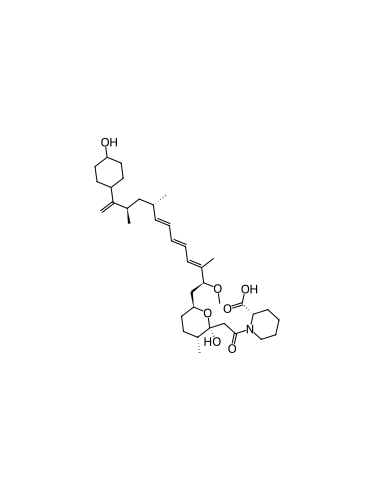 C=C(C1CCC(O)CC1)[C@H](C)C[C@H](C)/C=C/C=C/C=C(\C)[C@H](C[C@@H]1CC[C@@H](C)[C@](O)(CC(=O)N2CCCC[C@H]2C(=O)O)O1)OC